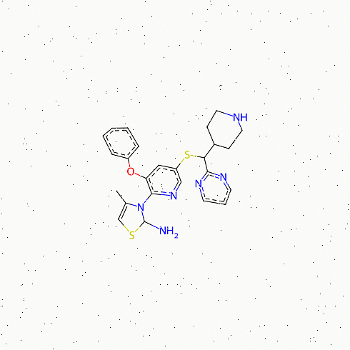 CC1=CSC(N)N1c1ncc(SC(c2ncccn2)C2CCNCC2)cc1Oc1ccccc1